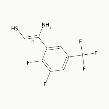 N/C(=C\S)c1cc(C(F)(F)F)cc(F)c1F